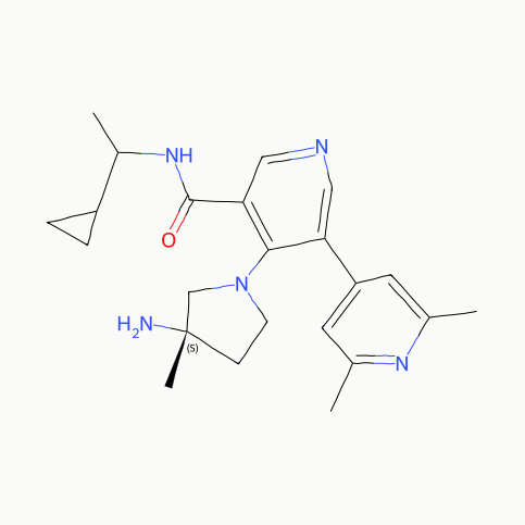 Cc1cc(-c2cncc(C(=O)NC(C)C3CC3)c2N2CC[C@](C)(N)C2)cc(C)n1